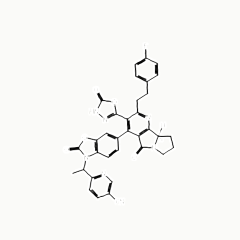 CC(c1ccc(C#N)cn1)n1c(=O)oc2cc(-c3c4c(nc(CCc5ccc(F)cc5)c3-c3n[nH]c(=O)o3)[C@@H]3CCCN3C4=O)ccc21